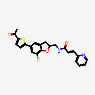 CC(=O)c1ccc(-c2cc(Cl)c3c(c2)CC(CNC(=O)/C=C/c2ccccn2)O3)s1